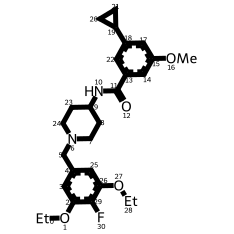 CCOc1cc(CN2CCC(NC(=O)c3cc(OC)cc(C4CC4)c3)CC2)cc(OCC)c1F